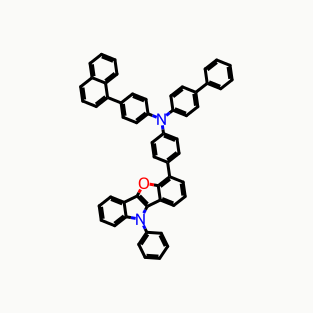 c1ccc(-c2ccc(N(c3ccc(-c4cccc5ccccc45)cc3)c3ccc(-c4cccc5c4oc4c6ccccc6n(-c6ccccc6)c54)cc3)cc2)cc1